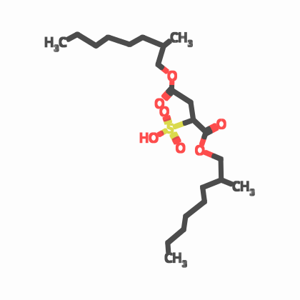 CCCCCCC(C)COC(=O)CC(C(=O)OCC(C)CCCCCC)S(=O)(=O)O